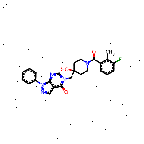 Cc1c(F)cccc1C(=O)N1CCC(O)(Cn2cnc3c(cnn3-c3ccccc3)c2=O)CC1